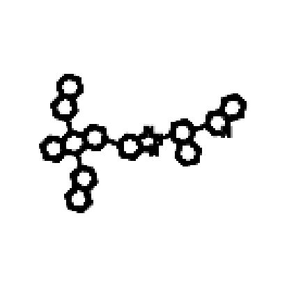 c1ccc2cc(-c3c4ccccc4c(-c4ccc5ccccc5c4)c4cc(-c5ccc6nn(-c7ccc(-c8cnc9ccccc9c8)c8ccccc78)nc6c5)ccc34)ccc2c1